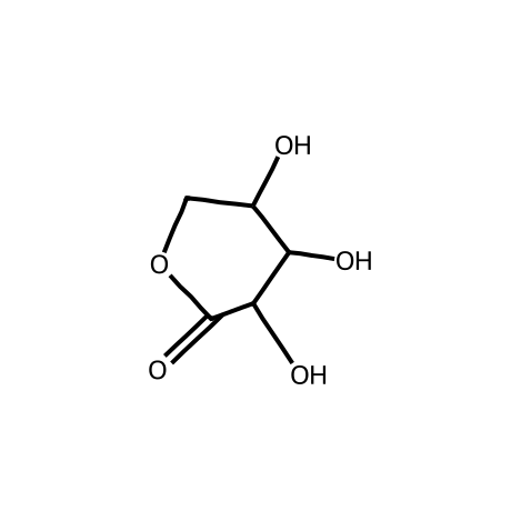 O=C1OCC(O)C(O)C1O